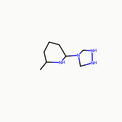 CC1CCCC(N2CNNC2)N1